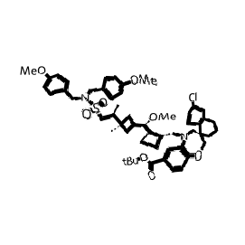 COc1ccc(CN(Cc2ccc(OC)cc2)S(=O)(=O)C[C@@H](C)[C@]2(C)C=C([C@H](OC)[C@@H]3CC[C@H]3CN3C[C@@]4(CCCc5cc(Cl)ccc54)COc4ccc(C(=O)OC(C)(C)C)cc43)C2)cc1